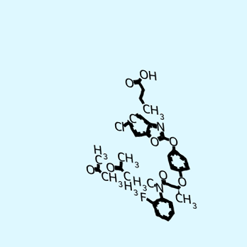 CC(C)=O.CC(C)=O.CCCC(=O)O.C[C@@H](Oc1ccc(Oc2nc3ccc(Cl)cc3o2)cc1)C(=O)N(C)c1ccccc1F